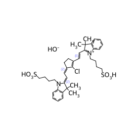 CC1(C)C(/C=C/C2=C(Cl)C(=C\C=C3/N(CCCCS(=O)(=O)O)c4ccccc4C3(C)C)/CC2)=[N+](CCCCS(=O)(=O)O)c2ccccc21.[OH-]